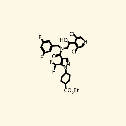 CCOC(=O)C1CCC(n2ncc(C(=O)N(Cc3cc(F)cc(F)c3)CC(O)c3c(Cl)cncc3Cl)c2C(F)F)CC1